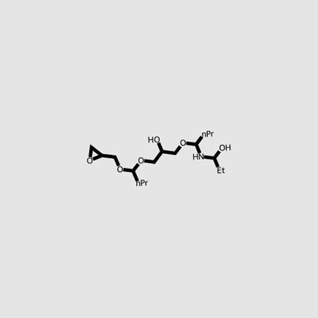 CCCC(NC(O)CC)OCC(O)COC(CCC)OCC1CO1